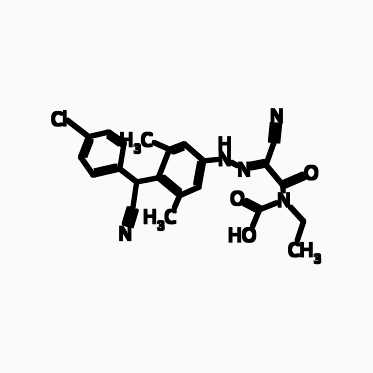 CCN(C(=O)O)C(=O)/C(C#N)=N/Nc1cc(C)c(C(C#N)c2ccc(Cl)cc2)c(C)c1